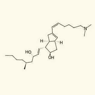 CCCC[C@H](C)C[C@H](O)/C=C/[C@@H]1[C@H]2CC(/C=C\CCCCN(C)C)=C[C@H]2C[C@H]1O